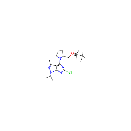 Cc1nn(C(C)C)c2nc(Cl)nc(N3CCCC3CO[Si](C)(C)C(C)(C)C)c12